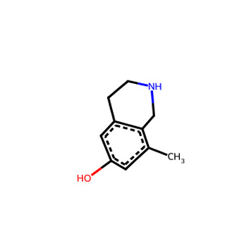 Cc1cc(O)cc2c1CNCC2